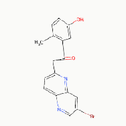 Cc1ccc(O)cc1C(=O)Cc1ccc2ncc(Br)cc2n1